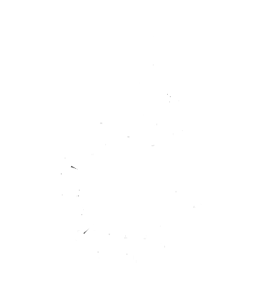 C=C(C)S/C=C(N)/C=C(\C)[C@@H]1CC2OC2(C)CC2CC2[C@H](C)[C@H](O)[C@@H](C)C(=O)C(C)(C)[C@@H](O)CC(=O)O1